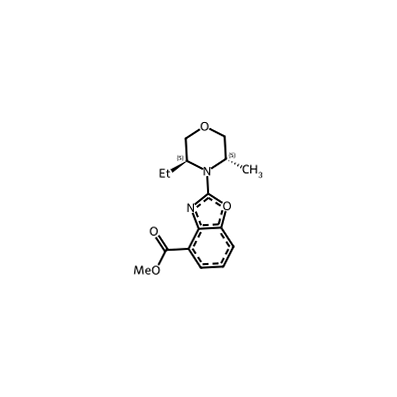 CC[C@H]1COC[C@H](C)N1c1nc2c(C(=O)OC)cccc2o1